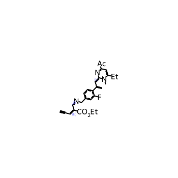 C#C/C=C(\C=N/Cc1ccc(C(=C)/C=C2/N=C(C(C)=O)C=C(CC)N2C)c(F)c1)C(=O)OCC